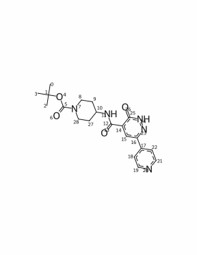 CC(C)(C)OC(=O)N1CCC(NC(=O)c2cc(-c3ccncc3)n[nH]c2=O)CC1